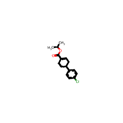 CC(C)OC(=O)C1=CCC(c2ccc(Cl)cc2)CC1